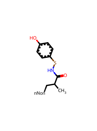 CCCCCCCCCCC(C)C(=O)NSc1ccc(O)cc1